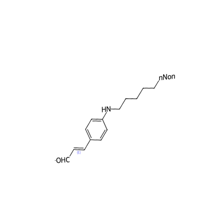 CCCCCCCCCCCCCCNc1ccc(/C=C/[C]=O)cc1